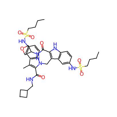 CCCCS(=O)(=O)Nc1ccc2[nH]c(C(=O)NC3COC3)c(Cn3c(C(=O)NCC4CCC4)c(C)c4cc(NS(=O)(=O)CCCC)ccc43)c2c1